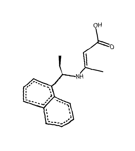 CC(=CC(=O)O)N[C@H](C)c1cccc2ccccc12